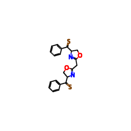 S=C(c1ccccc1)C1COC(CC2=NC(C(=S)c3ccccc3)CO2)=N1